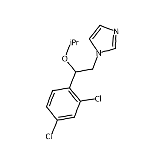 CC(C)OC(Cn1ccnc1)c1ccc(Cl)cc1Cl